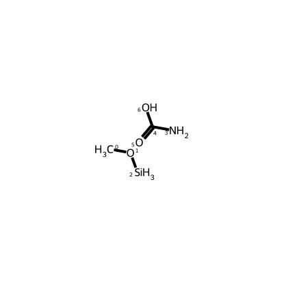 CO[SiH3].NC(=O)O